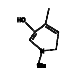 CC1=CCN(C(C)(C)C)C=C1O